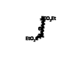 CCOC(=O)CCC(C)(C)CCCC(=O)CCCCCC(C)(C)C(=O)OCC